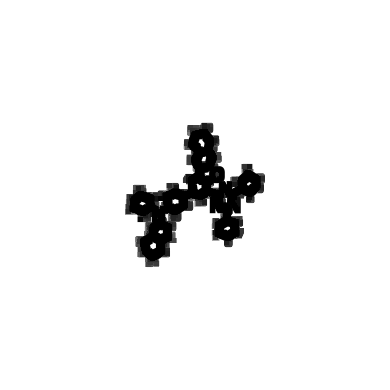 c1ccc(-c2nc(-c3ccccc3)nc(-c3cc(-c4ccc(N(c5ccccc5)c5ccc6ccccc6c5)cc4)cc4c3oc3cc5ccccc5cc34)n2)cc1